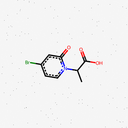 CC(C(=O)O)n1ccc(Br)cc1=O